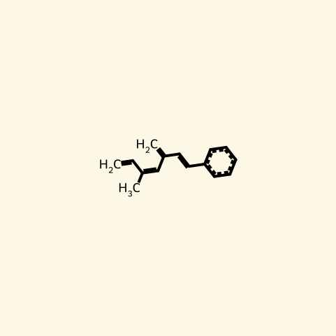 C=CC(C)=CC(=C)C=Cc1ccccc1